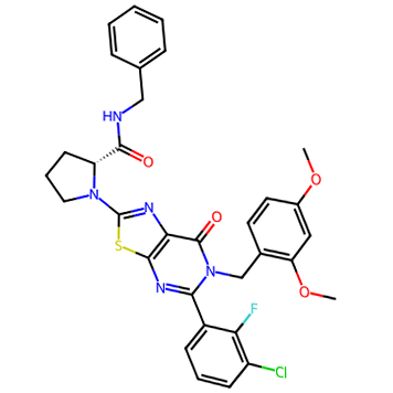 COc1ccc(Cn2c(-c3cccc(Cl)c3F)nc3sc(N4CCC[C@@H]4C(=O)NCc4ccccc4)nc3c2=O)c(OC)c1